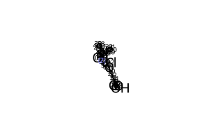 O=C1/C(=C/c2ccc(OCCCCCCCCS(=O)(=O)O)c(Cl)c2)N=C2C(Cc3ccccc3)=NC(c3ccccc3)=CN12